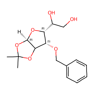 CC1(C)OC2[C@H](O[C@H](C(O)CO)[C@@H]2OCc2ccccc2)O1